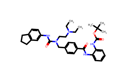 CCN(CC)CCN(Cc1ccc(C(=O)Nc2ccccc2NC(=O)OC(C)(C)C)cc1)C(=O)Nc1ccc2c(c1)CCC2